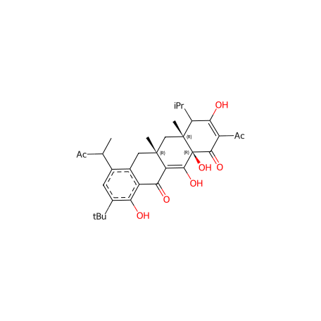 CC(=O)C1=C(O)C(C(C)C)[C@@]2(C)C[C@@]3(C)Cc4c(C(C)C(C)=O)cc(C(C)(C)C)c(O)c4C(=O)C3=C(O)[C@@]2(O)C1=O